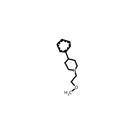 COCCN1CCC(c2cc[c]cc2)CC1